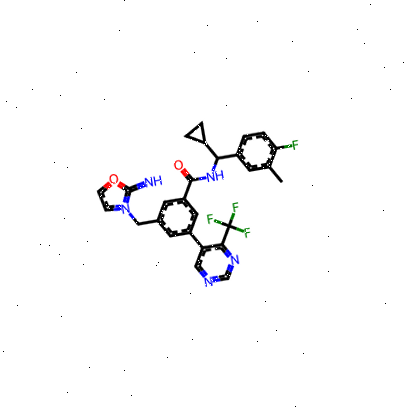 Cc1cc(C(NC(=O)c2cc(Cn3ccoc3=N)cc(-c3cncnc3C(F)(F)F)c2)C2CC2)ccc1F